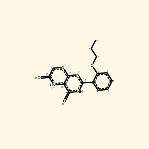 CCCOc1ccccc1-c1nc2ncc(=O)[nH]c2c(=O)[nH]1